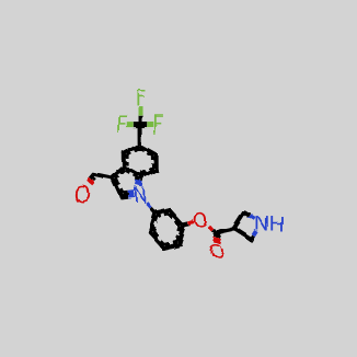 O=Cc1cn(-c2cccc(OC(=O)C3CNC3)c2)c2ccc(C(F)(F)F)cc12